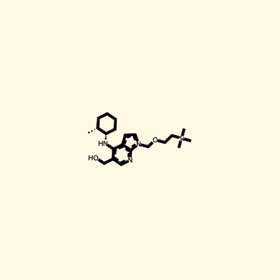 C[C@@H]1CCCC[C@@H]1Nc1c(CO)cnc2c1ccn2COCC[Si](C)(C)C